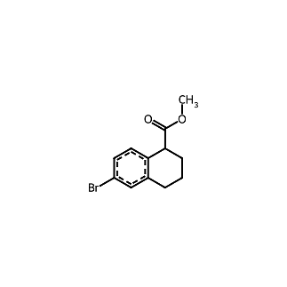 COC(=O)C1CCCc2cc(Br)ccc21